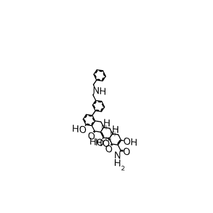 NC(=O)C1=C(O)C[C@@H]2C[C@@H]3Cc4c(-c5cccc(CNCc6ccccc6)c5)ccc(O)c4C(=O)C3=C(O)[C@]2(O)C1=O